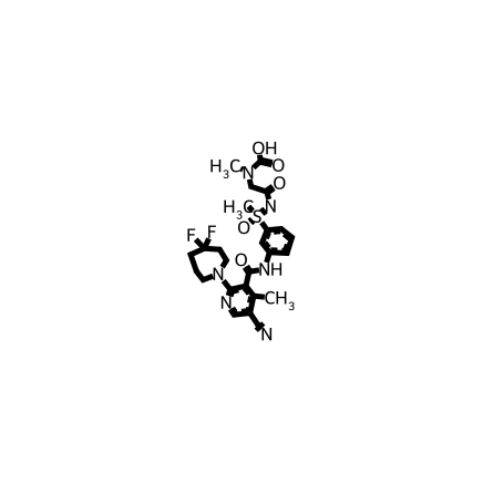 Cc1c(C#N)cnc(N2CCCC(F)(F)CC2)c1C(=O)Nc1cccc(S(C)(=O)=NC(=O)CN(C)C(=O)O)c1